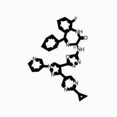 O=C1Nc2c(F)cccc2C(c2ccccc2)=N[C@@H]1Nc1nnc(-c2cn(-c3cccnc3)nc2-c2cnc(C3CC3)nc2)o1